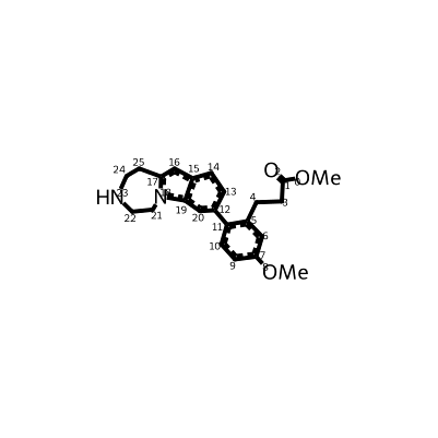 COC(=O)CCc1cc(OC)ccc1-c1ccc2cc3n(c2c1)CCNCC3